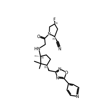 CC1(C)[C@H](Cc2noc(-c3ccncc3)n2)CC[C@]1(C)NCC(=O)N1C[C@@H](F)C[C@H]1C#N